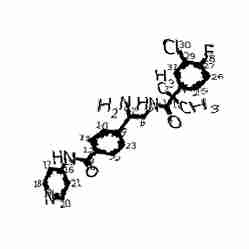 CC(C)(C(=O)NCC(N)c1ccc(C(=O)Nc2ccncc2)cc1)c1ccc(F)c(Cl)c1